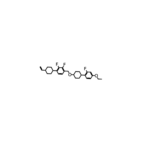 C=CC1CCC(c2ccc(COC3CCC(c4ccc(OCC)cc4F)CC3)c(F)c2F)CC1